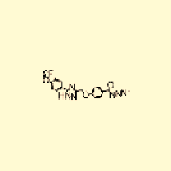 [N-]=[N+]=NC(=O)c1ccc(OCc2n[nH]c(-c3ccc(OC(F)(F)F)cc3)n2)cc1